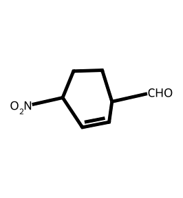 O=CC1C=CC([N+](=O)[O-])CC1